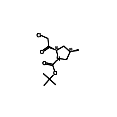 C[C@@H]1C[C@H](C(=O)CCl)N(C(=O)OC(C)(C)C)C1